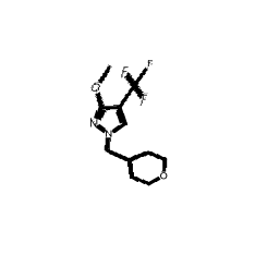 COc1nn(CC2CCOCC2)cc1C(F)(F)F